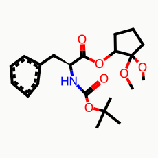 COC1(OC)CCCC1OC(=O)[C@H](Cc1ccccc1)NC(=O)OC(C)(C)C